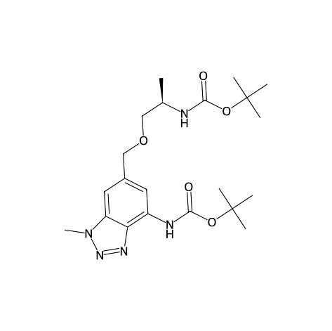 C[C@H](COCc1cc(NC(=O)OC(C)(C)C)c2nnn(C)c2c1)NC(=O)OC(C)(C)C